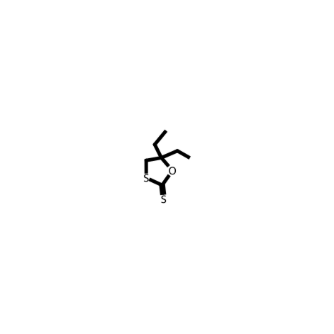 CCC1(CC)CSC(=S)O1